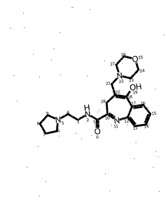 O=C(NCCN1CCCC1)C1=Nc2ccccc2C(O)=C(CN2CCOCC2)C1